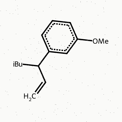 C=CC(c1cccc(OC)c1)C(C)CC